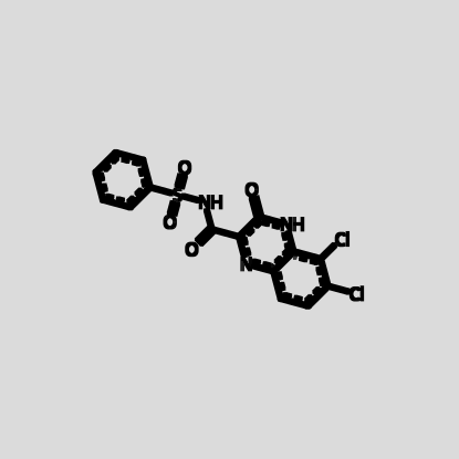 O=C(NS(=O)(=O)c1ccccc1)c1nc2ccc(Cl)c(Cl)c2[nH]c1=O